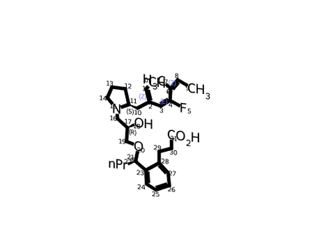 C\C=C(/C=C(F)\C(C)=C/C)C[C@@H]1CCCN1C[C@@H](O)CO[C@H](CCC)c1ccccc1CCC(=O)O